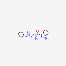 O=C(CNC(=O)c1c[nH]c2ccccc12)NCc1ccc(F)cc1